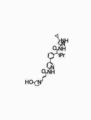 CC(C)C(C(=O)Nc1cc(C2CC2)[nH]n1)c1cccc(-c2ccc(NC(=O)/C=C/CN3CCC(O)C3)nc2)c1